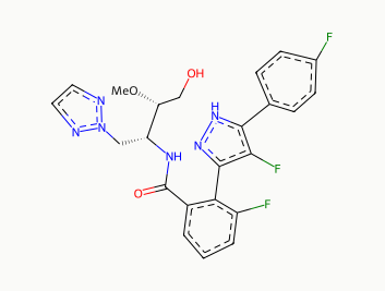 CO[C@H](CO)[C@@H](Cn1nccn1)NC(=O)c1cccc(F)c1-c1n[nH]c(-c2ccc(F)cc2)c1F